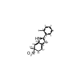 Cc1ccccc1-c1nc2c([nH]1)=CC(C)([N+](=O)[O-])CC=2